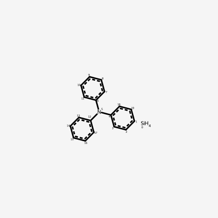 [SiH4].c1ccc(N(c2ccccc2)c2ccccc2)cc1